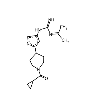 CC(C)=NC(=N)Nc1cnn(C2CCN(C(=O)C3CC3)CC2)c1